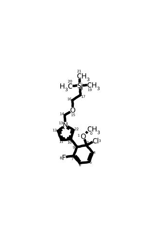 COC1(Cl)C=CC=C(F)C1c1ccn(COCC[Si](C)(C)C)c1